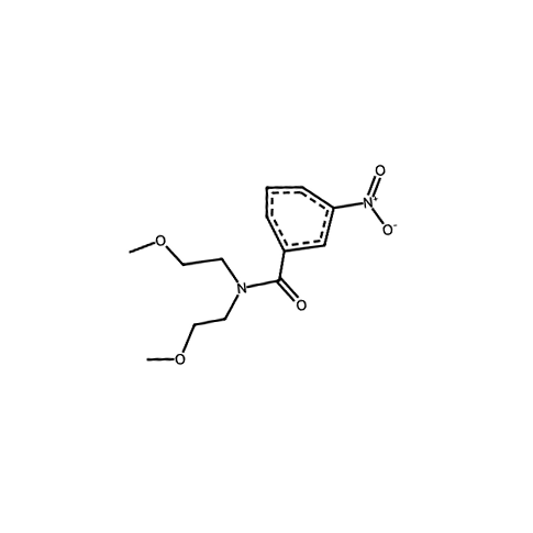 COCCN(CCOC)C(=O)c1cccc([N+](=O)[O-])c1